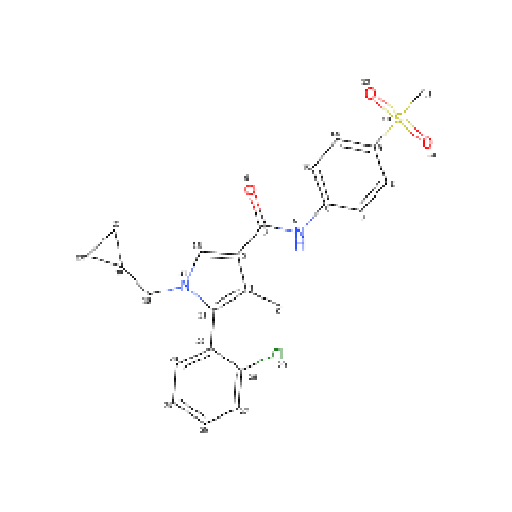 Cc1c(C(=O)Nc2ccc(S(C)(=O)=O)cc2)cn(CC2CC2)c1-c1ccccc1Cl